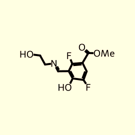 COC(=O)c1cc(F)c(O)c(/C=N/CCO)c1F